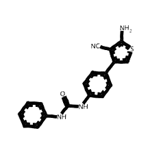 N#Cc1c(-c2ccc(NC(=O)Nc3ccccc3)cc2)csc1N